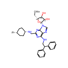 COC[C@H]1O[C@@H](n2cnc3c(NCC(c4ccccc4)c4ccccc4)nc(CN[C@H]4CC[C@@H](C(C)C)CC4)nc32)[C@H](O)[C@@H]1O